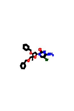 C[C@]1(COCc2ccccc2)O[C@@H](n2cc(Br)c(N)nc2=O)C[C@@H]1OCc1ccccc1